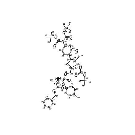 Cc1ccc(OP(=O)(N[C@@H](C)C(=O)OCc2ccccc2)OC[C@H]2S[C@@H](n3ccc(N(C(=O)OC(C)(C)C)C(=O)OC(C)(C)C)nc3=O)[C@@H](F)[C@@H]2OC(=O)OC(C)(C)C)cc1